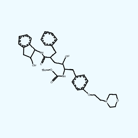 CC(C)(C)OC(=O)NC(Cc1ccc(OCCN2CCOCC2)cc1)C(O)CC(Cc1ccccc1)C(=O)NC1c2ccccc2CC1O